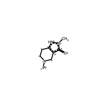 CC(C)N1CCc2[nH]n(C)c(=O)c2C1